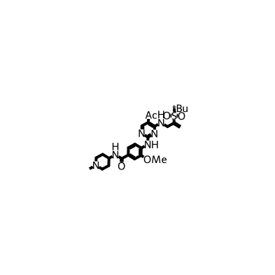 C=C(CNc1nc(Nc2ccc(C(=O)NC3CCN(C)CC3)cc2OC)ncc1C(C)=O)S(=O)(=O)C(C)(C)C